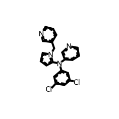 Clc1cc(Cl)cc(N(c2cccnc2)c2cccn2Cc2cccnc2)c1